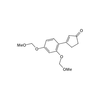 COCOc1ccc(C2=CC(=O)CC2)c(OCOC)c1